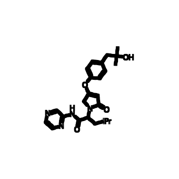 CC(C)CC(C(=O)Nc1cnccn1)N1CC(Oc2ccc(CC(C)(C)O)cc2)=CC1=O